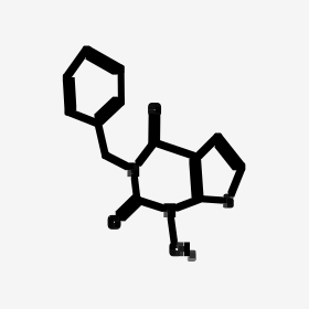 Cn1c(=O)n(Cc2ccccc2)c(=O)c2ccsc21